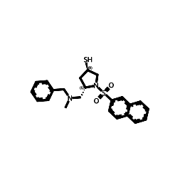 CN(Cc1ccccc1)C[C@@H]1C[C@@H](S)CN1S(=O)(=O)c1ccc2ccccc2c1